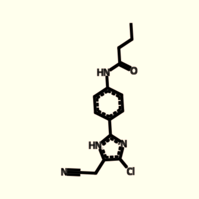 CCCC(=O)Nc1ccc(-c2nc(Cl)c(CC#N)[nH]2)cc1